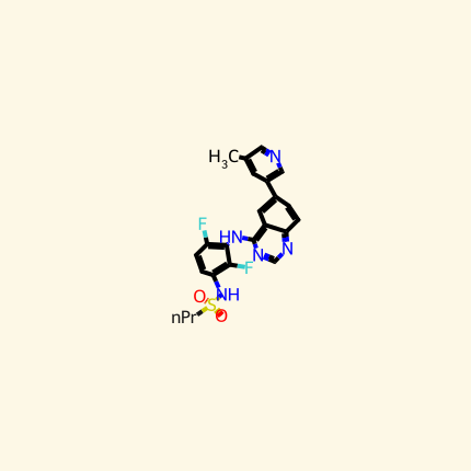 CCCS(=O)(=O)Nc1ccc(F)c(Nc2ncnc3ccc(-c4cncc(C)c4)cc23)c1F